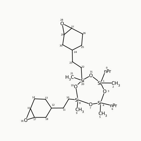 CCC[Si]1(C)O[Si](C)(CCC)O[Si](C)(CCC2CCC3OC3C2)O[Si](C)(CCC2CCC3OC3C2)O1